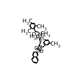 Cc1cc(C)cc(CN(CCCC[N+](C)(C)CC(=O)c2c(C)cc(C)cc2C)S(=O)(=O)c2ccc3ccccc3c2)c1